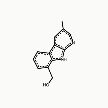 Cc1cnc2[nH]c3c(CO)cccc3c2c1